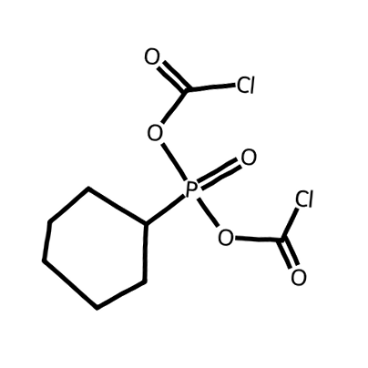 O=C(Cl)OP(=O)(OC(=O)Cl)C1CCCCC1